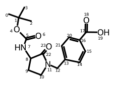 CC(C)(C)OC(=O)NC1CCN(Cc2ccc(C(=O)O)cc2)C1=O